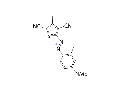 CNc1ccc(/N=N/c2sc(C#N)c(C)c2C#N)c(C)c1